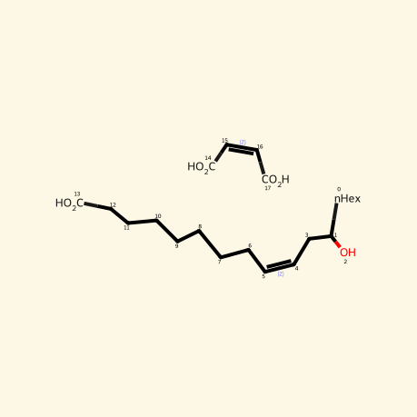 CCCCCCC(O)C/C=C\CCCCCCCC(=O)O.O=C(O)/C=C\C(=O)O